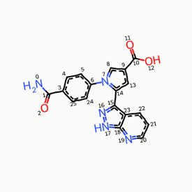 NC(=O)c1ccc(-n2cc(C(=O)O)cc2-c2n[nH]c3ncccc23)cc1